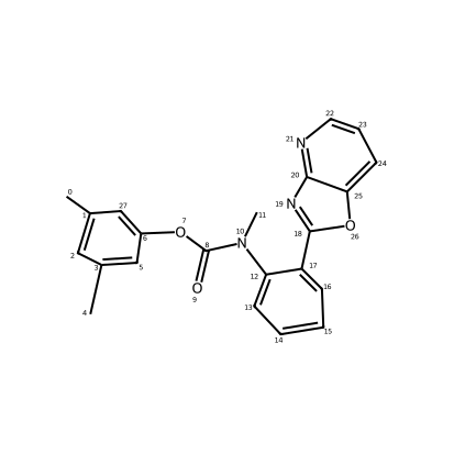 Cc1cc(C)cc(OC(=O)N(C)c2ccccc2-c2nc3ncccc3o2)c1